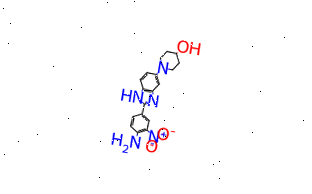 Nc1ccc(-c2nc3cc(N4CCC(O)CC4)ccc3[nH]2)cc1[N+](=O)[O-]